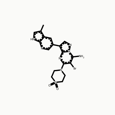 Cc1c[nH]c2ncc(-c3cnn4c(N)c(Br)c(N5CCS(=O)(=O)CC5)nc34)cc12